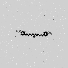 Cc1ccc(CCCCCC[S+]([O-])CCCCCCc2ccc(C)cc2)cc1